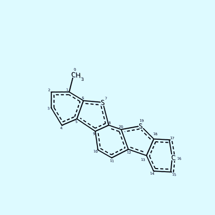 Cc1cccc2c1sc1c2ccc2c3ccccc3sc21